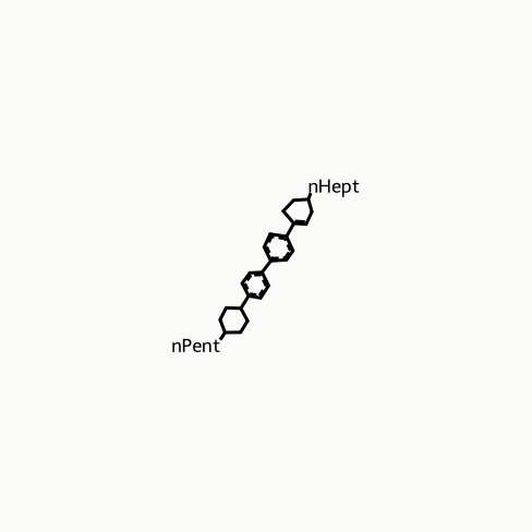 CCCCCCCC1CC=C(c2ccc(-c3ccc(C4CCC(CCCCC)CC4)cc3)cc2)CC1